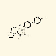 O=C(NO)C1C2CCOC2CCN1S(=O)(=O)c1ccc(-c2ccc(C(F)(F)F)cc2)cc1